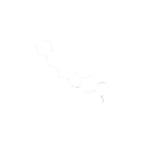 O=C1SC=C2Cn3nc(NCCc4ccccc4)nc3N=C12